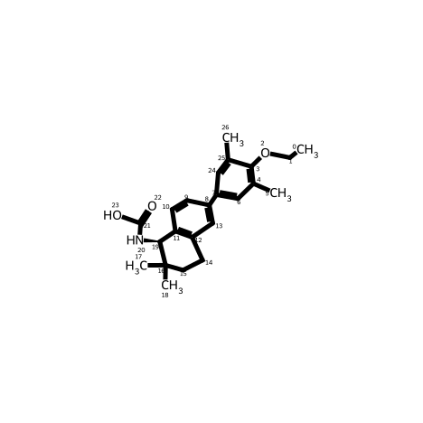 CCOc1c(C)cc(-c2ccc3c(c2)CCC(C)(C)[C@H]3NC(=O)O)cc1C